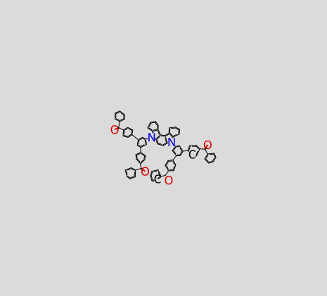 O=C(c1ccccc1)c1ccc(-c2cc(-c3ccc(C(=O)c4ccccc4)cc3)cc(-n3c4ccccc4c4c5c6ccccc6n(-c6cc(-c7ccc(C(=O)c8ccccc8)cc7)cc(-c7ccc(C(=O)c8ccccc8)cc7)c6)c5ccc43)c2)cc1